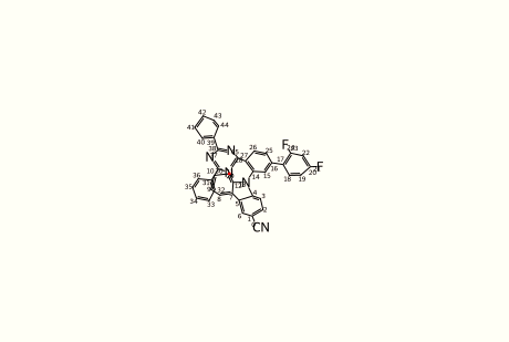 N#Cc1ccc2c(c1)c1ccccc1n2-c1cc(-c2ccc(F)cc2F)ccc1-c1nc(-c2ccccc2)nc(-c2ccccc2)n1